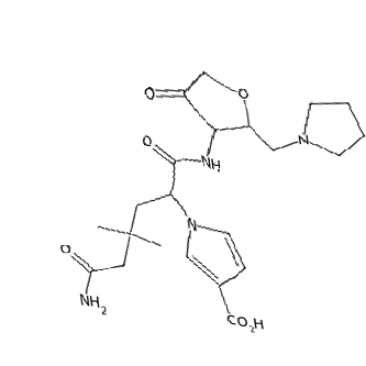 CC(C)(CC(N)=O)CC(C(=O)NC1C(=O)COC1CN1CCCC1)n1ccc(C(=O)O)c1